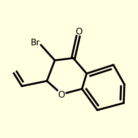 C=CC1Oc2ccccc2C(=O)C1Br